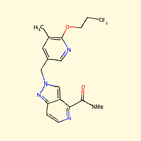 CNC(=O)c1nccc2nn(Cc3cnc(OCCC(F)(F)F)c(C)c3)cc12